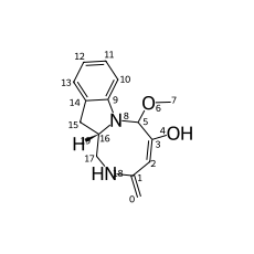 C=C1/C=C(/O)C(OC)N2c3ccccc3C[C@H]2CN1